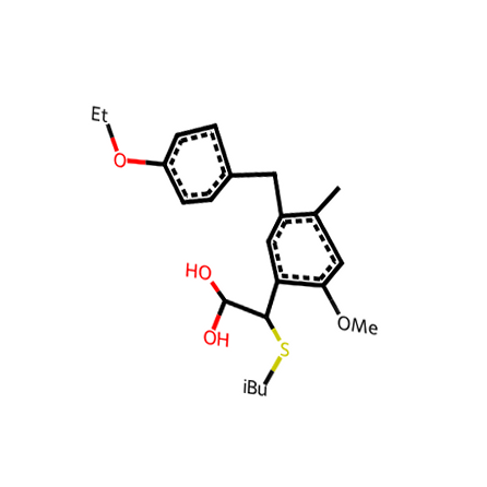 CCOc1ccc(Cc2cc(C(SC(C)CC)C(O)O)c(OC)cc2C)cc1